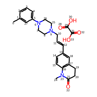 Cc1cccc(N2CCN(C/C=C/c3ccc4c(c3)CCC(=O)N4C)CC2)c1.O=C(O)C(=O)O